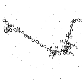 CC(=O)N1c2ccc(-c3ccc(C(=O)NCCOCCOCCOCCOCCOCCOCCOCCOCCNC(=O)c4nc(NC(=O)CCNC(=O)c5cc(NC(=O)c6nc(C(N)CCNC(=O)COCCOCCOCCN7CCN(CC8CCNCC8)CC7)cn6C)cn5C)cn4C)cc3)cc2[C@H](Nc2ccc(Cl)cc2)C[C@@H]1C